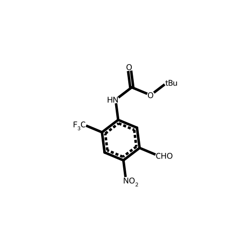 CC(C)(C)OC(=O)Nc1cc(C=O)c([N+](=O)[O-])cc1C(F)(F)F